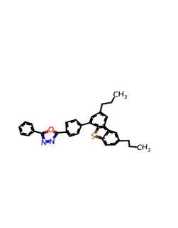 CCCc1ccc2sc3c(-c4ccc(-c5nnc(-c6ccccc6)o5)cc4)cc(CCC)cc3c2c1